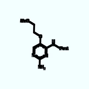 CCCC(C)Nc1nc(N)ncc1OCCOC